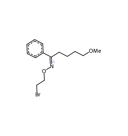 COCCCC/C(=N/OCCBr)c1ccccc1